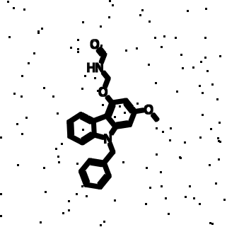 COc1cc(OCNC=O)c2c3ccccc3n(Cc3ccccc3)c2c1